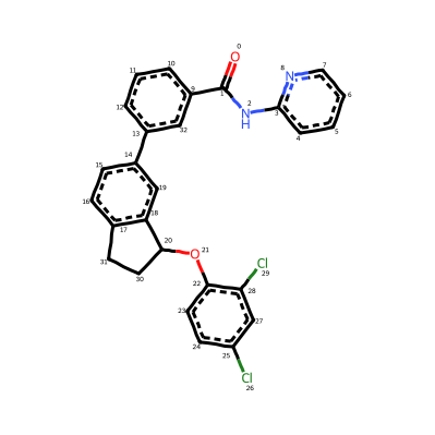 O=C(Nc1ccccn1)c1cccc(-c2ccc3c(c2)C(Oc2ccc(Cl)cc2Cl)CC3)c1